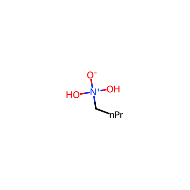 CCCC[N+]([O-])(O)O